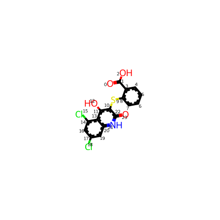 O=C(O)c1ccccc1Sc1c(O)c2c(Cl)cc(Cl)cc2[nH]c1=O